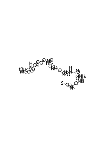 COC(=O)[C@H](CCC(C)(C)C)NC(=O)c1ccc(Oc2cccc(OC3CN(C(=O)NCC(COCCOCc4cn(CC(=O)NCCCn5nccc5C(=O)N[C@H](C(=O)Nc5ccc(-c6c(C)nn(COCC[Si](C)(C)C)c6C)cc5)C(C5CC5)C5CC5)nn4)C(N)=O)C3)c2)nc1